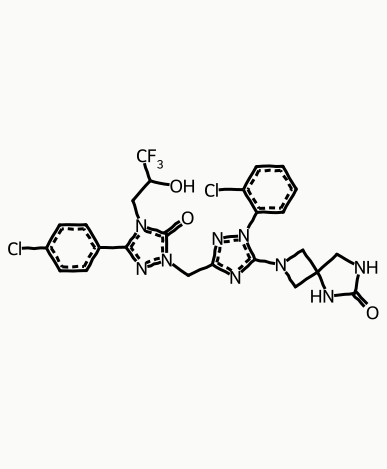 O=C1NCC2(CN(c3nc(Cn4nc(-c5ccc(Cl)cc5)n(CC(O)C(F)(F)F)c4=O)nn3-c3ccccc3Cl)C2)N1